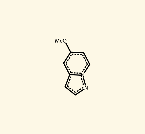 COc1ccn2nccc2c1